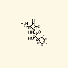 NC[C@H]1NC(=O)[C@H]1NC(=O)C(O)c1ccccc1